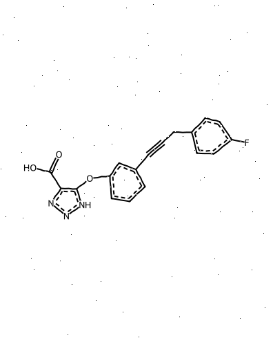 O=C(O)c1nn[nH]c1Oc1cccc(C#CCc2ccc(F)cc2)c1